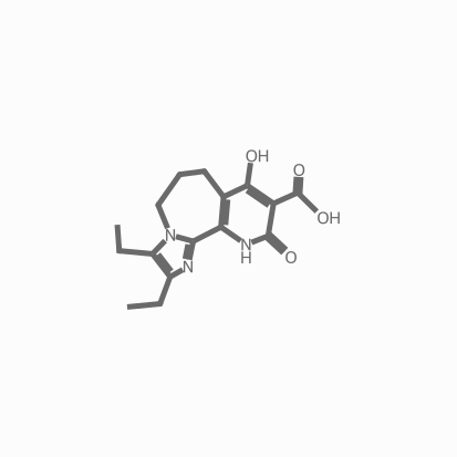 CCc1nc2n(c1CC)CCCc1c-2[nH]c(=O)c(C(=O)O)c1O